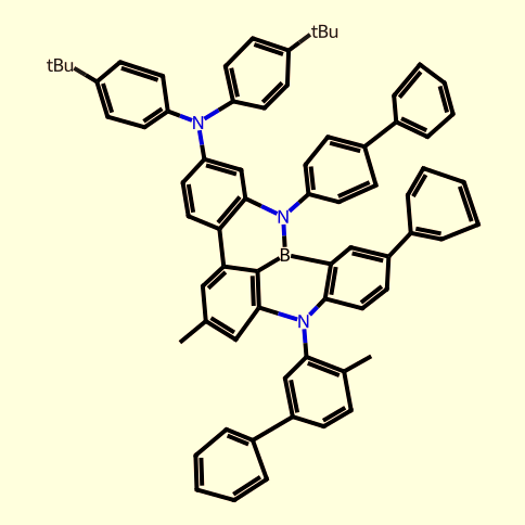 Cc1cc2c3c(c1)N(c1cc(-c4ccccc4)ccc1C)c1ccc(-c4ccccc4)cc1B3N(c1ccc(-c3ccccc3)cc1)c1cc(N(c3ccc(C(C)(C)C)cc3)c3ccc(C(C)(C)C)cc3)ccc1-2